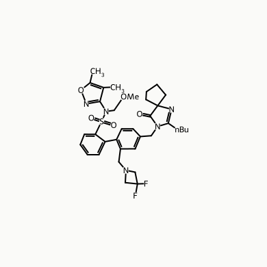 CCCCC1=NC2(CCCC2)C(=O)N1Cc1ccc(-c2ccccc2S(=O)(=O)N(COC)c2noc(C)c2C)c(CN2CC(F)(F)C2)c1